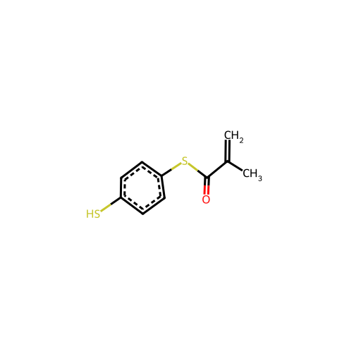 C=C(C)C(=O)Sc1ccc(S)cc1